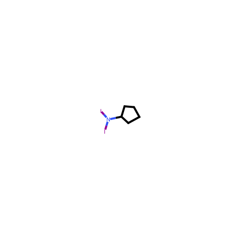 IN(I)C1CCCC1